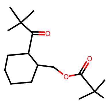 CC(C)(C)C(=O)OCC1CCCCC1C(=O)C(C)(C)C